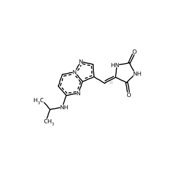 CC(C)Nc1ccn2ncc(/C=C3\NC(=O)NC3=O)c2n1